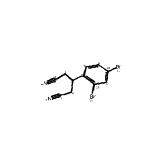 N#CCC(CC#N)c1ccc(Br)cc1Br